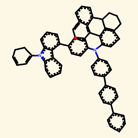 C1=CCCC(n2c3ccccc3c3c(-c4ccc(N(c5ccc(-c6ccc(-c7ccccc7)cc6)cc5)c5ccccc5C5=c6c(C7CCCCC7)cccc6=CCC5)cc4)cccc32)=C1